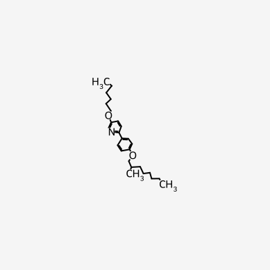 CCCCCCOc1ccc(-c2ccc(OCC(C)CCCCCC)cc2)nc1